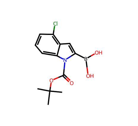 CC(C)(C)OC(=O)n1c(B(O)O)cc2c(Cl)cccc21